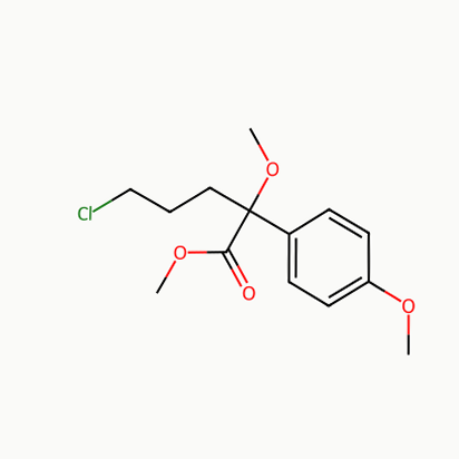 COC(=O)C(CCCCl)(OC)c1ccc(OC)cc1